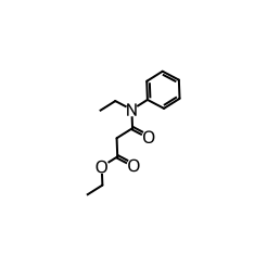 CCOC(=O)CC(=O)N(CC)c1ccccc1